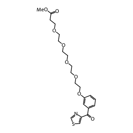 COC(=O)CCOCCOCCOCCOCCOc1cccc(C(=O)c2cscn2)c1